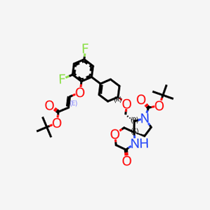 CC(C)(C)OC(=O)/C=C/Oc1c(F)cc(F)cc1C1=CC[C@H](OC[C@@H]2N(C(=O)OC(C)(C)C)CC[C@@]23COCC(=O)N3)CC1